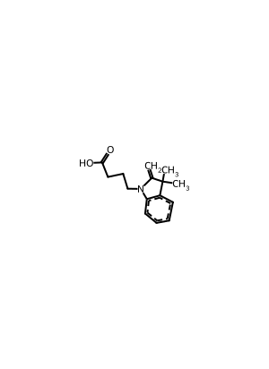 C=C1N(CCCC(=O)O)c2ccccc2C1(C)C